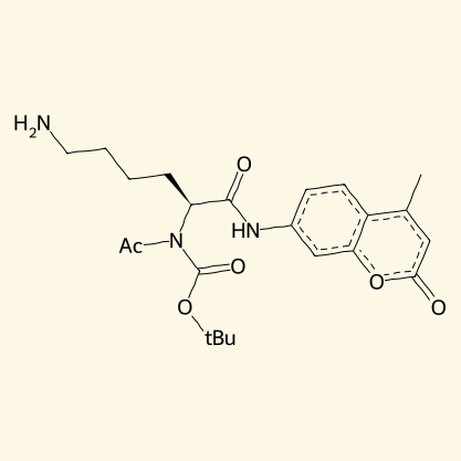 CC(=O)N(C(=O)OC(C)(C)C)[C@@H](CCCCN)C(=O)Nc1ccc2c(C)cc(=O)oc2c1